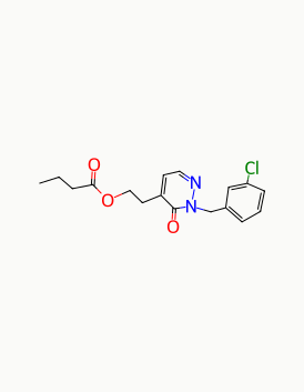 CCCC(=O)OCCc1ccnn(Cc2cccc(Cl)c2)c1=O